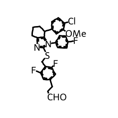 COc1cc(C2CCCc3nc(SCc4c(F)cc(CCC=O)cc4F)n(-c4ccc(F)cc4)c32)ccc1Cl